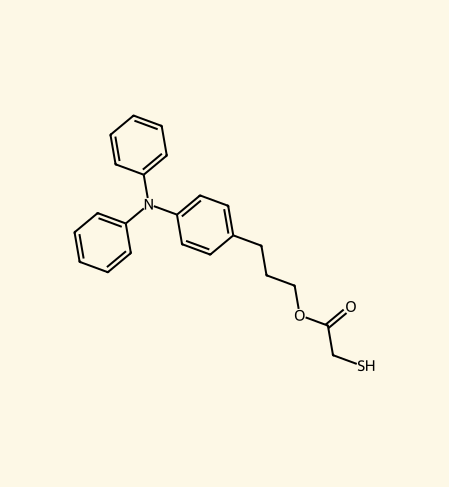 O=C(CS)OCCCc1ccc(N(c2ccccc2)c2ccccc2)cc1